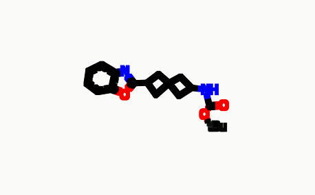 CC(C)(C)OC(=O)NC1CC2(C1)CC(c1nc3ccccc3o1)C2